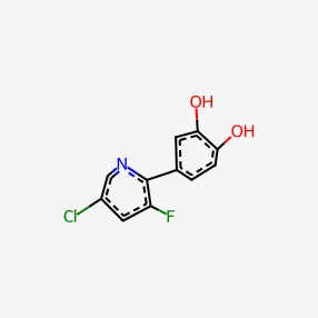 Oc1ccc(-c2ncc(Cl)cc2F)cc1O